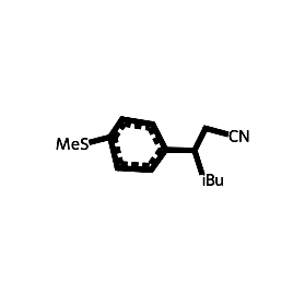 CCC(C)C(CC#N)c1ccc(SC)cc1